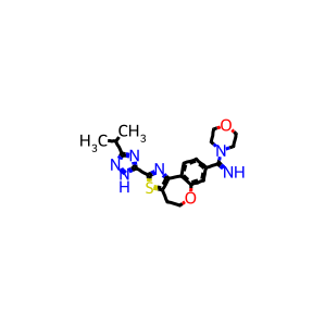 CC(C)c1n[nH]c(-c2nc3c(s2)CCOc2cc(C(=N)N4CCOCC4)ccc2-3)n1